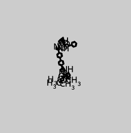 CN1CC[C@@H](c2ncc(-c3ccc(-c4ccc(-c5cnc([C@@H]6CC7C[C@H]7N6C(=O)OCc6ccccc6)[nH]5)cc4)cc3)[nH]2)N1C(=O)OC(C)(C)C